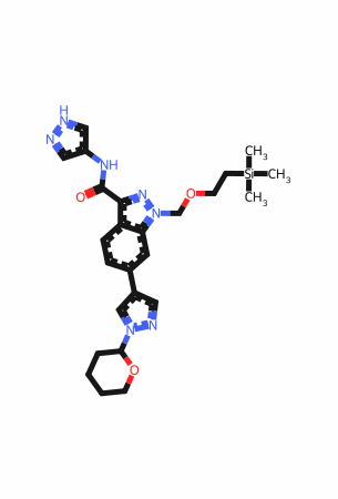 C[Si](C)(C)CCOCn1nc(C(=O)Nc2cn[nH]c2)c2ccc(-c3cnn(C4CCCCO4)c3)cc21